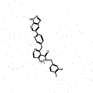 Nc1ccnc(Cc2ccc(-c3cnc4[nH]ncc4c3)nc2)c1C(=O)NCc1ccc(F)c(F)c1